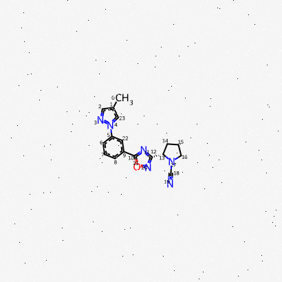 Cc1cnn(-c2cccc(-c3nc([C@@H]4CCCN4C#N)no3)c2)c1